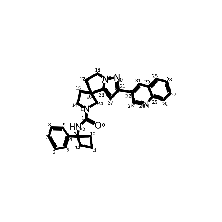 O=C(NC1(c2ccccc2)CCC1)N1CCC2(CCn3nc(-c4cnc5ccccc5c4)cc32)C1